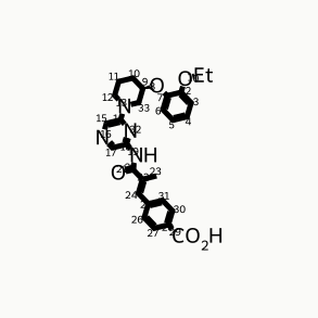 CCOc1ccccc1O[C@@H]1CCCN(c2cncc(NC(=O)/C(C)=C/c3ccc(C(=O)O)cc3)n2)C1